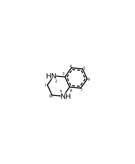 [C]1CNc2ccccc2N1